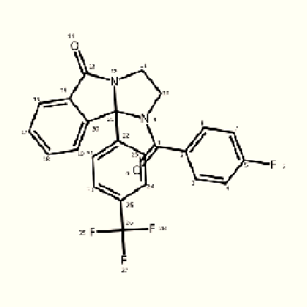 O=C(c1ccc(F)cc1)N1CCN2C(=O)c3ccccc3C12c1ccc(C(F)(F)F)cc1